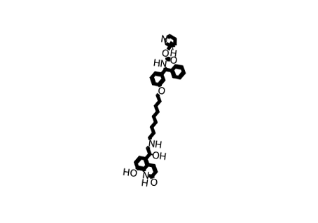 O=C(NC(c1ccccc1)c1cccc(OCCCCCCCCCNC[C@@H](O)c2ccc(O)c3[nH]c(=O)ccc23)c1)O[C@H]1CN2CCC1CC2